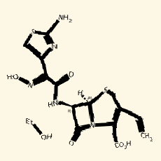 C=CC1=C(C(=O)O)N2C(=O)[C@@H](NC(=O)C(=NO)c3csc(N)n3)[C@H]2SC1.CCO